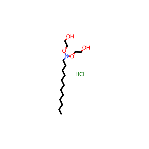 CCCCCCCCCCCCN(OCCO)OCCO.Cl